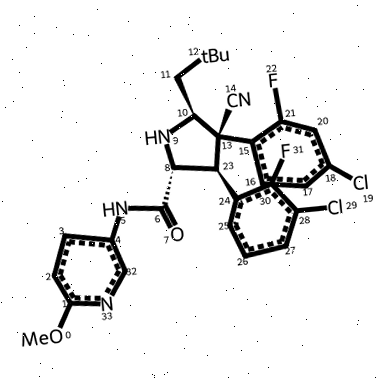 COc1ccc(NC(=O)[C@@H]2N[C@@H](CC(C)(C)C)[C@](C#N)(c3ccc(Cl)cc3F)[C@H]2c2cccc(Cl)c2F)cn1